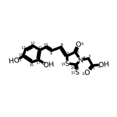 O=C(O)CN1C(=O)C(=CC=Cc2ccc(O)cc2O)SC1=S